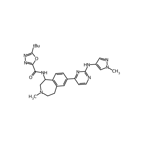 CN1CCc2cc(-c3ccnc(Nc4cnn(C)c4)n3)ccc2C(NC(=O)c2nnc(C(C)(C)C)o2)C1